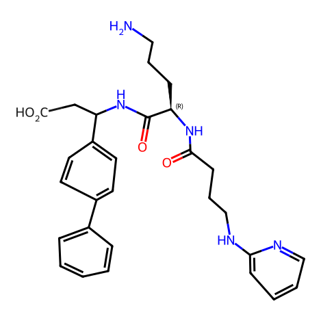 NCCC[C@@H](NC(=O)CCCNc1ccccn1)C(=O)NC(CC(=O)O)c1ccc(-c2ccccc2)cc1